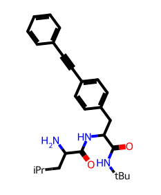 CC(C)CC(N)C(=O)NC(Cc1ccc(C#Cc2ccccc2)cc1)C(=O)NC(C)(C)C